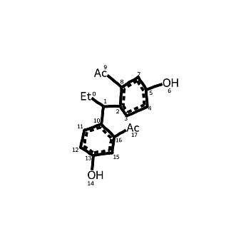 CCC(c1ccc(O)cc1C(C)=O)c1ccc(O)cc1C(C)=O